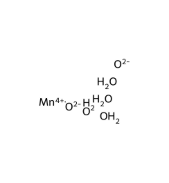 O.O.O.O.[Mn+4].[O-2].[O-2]